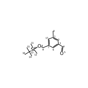 Cc1cc(C=O)cc(CO[Si](C)(C)C(C)(C)C)c1